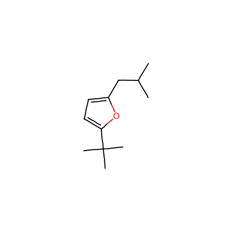 CC(C)Cc1ccc(C(C)(C)C)o1